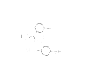 Bc1ccc(OC)c(CCc2c(F)cccc2C(N)=O)c1